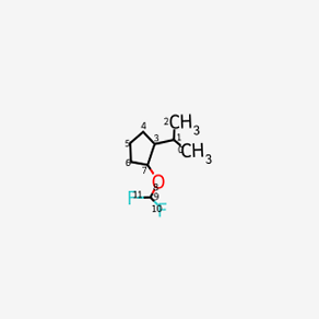 CC(C)C1CCCC1OC(F)F